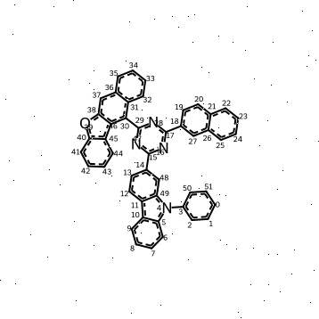 c1ccc(-n2c3ccccc3c3ccc(-c4nc(-c5ccc6ccccc6c5)nc(-c5c6ccccc6cc6oc7ccccc7c56)n4)cc32)cc1